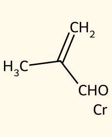 C=C(C)C=O.[Cr]